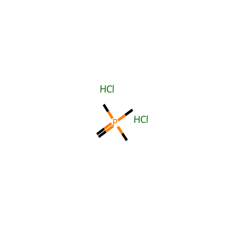 C=P(C)(C)C.Cl.Cl